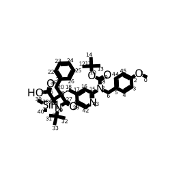 COc1ccc(CN(C(=O)OC(C)(C)C)c2cc(C[C@]3(Cc4ccccc4)C(=O)N(C(C)(C)C)[C@]3(C(=O)O)[SiH](C)C)ccn2)cc1